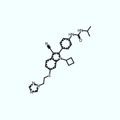 CC(C)NC(=O)Nc1ccc(-c2c(C#N)c3ccc(SCCn4cncn4)cc3n2C2CCC2)cc1